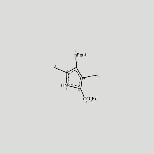 CCCCCc1c(C)[nH]c(C(=O)OCC)c1C